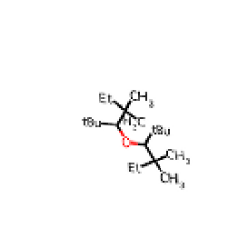 CCC(C)(C)C(OC(C(C)(C)C)C(C)(C)CC)C(C)(C)C